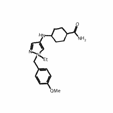 CC[N+]1(Cc2ccc(OC)cc2)C=C(NC2CCC(C(N)=O)CC2)C=N1